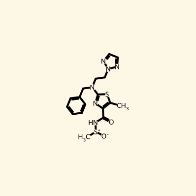 Cc1sc(N(CCn2nccn2)Cc2ccccc2)nc1C(=O)N[S+](C)[O-]